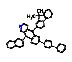 CC1(C)c2ccccc2-c2ccc(-c3c4ccncc4c(-c4ccc5ccccc5c4)c4ccc(-c5ccc(-c6ccccc6)cc5)cc34)cc21